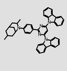 CC1CC2CC(C)N(c3ccc(-c4nc(-n5c6ccccc6c6ccccc65)cc(-n5c6ccccc6c6ccccc65)n4)cc3)C(C1)C2